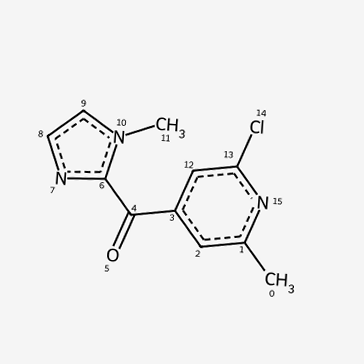 Cc1cc(C(=O)c2nccn2C)cc(Cl)n1